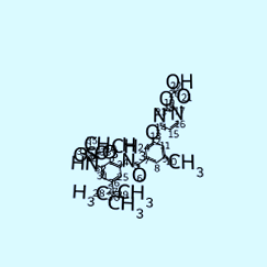 COc1c(NC(=O)c2cc(C)cc(Oc3ccnc(OC(=O)O)n3)c2)cc(C(C)(C)C)cc1NS(C)(=O)=O